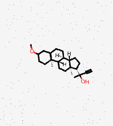 C#CC(C)(O)[C@H]1CC[C@H]2[C@@H]3CCC4CC(OC)CC[C@]4(C)[C@H]3CC[C@]12C